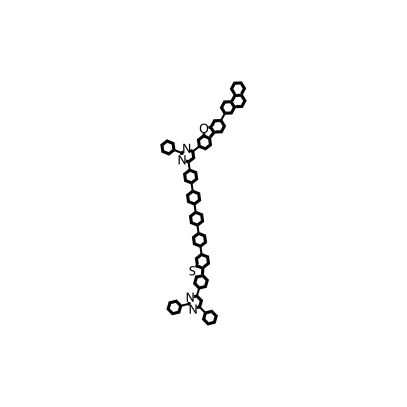 c1ccc(-c2cc(-c3ccc4c(c3)sc3cc(-c5ccc(-c6ccc(-c7ccc(-c8ccc(-c9cc(-c%10ccc%11c(c%10)oc%10cc(-c%12ccc%13c(ccc%14ccccc%14%13)c%12)ccc%10%11)nc(-c%10ccccc%10)n9)cc8)cc7)cc6)cc5)ccc34)nc(-c3ccccc3)n2)cc1